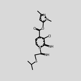 Cc1cc(OC(=O)c2ccn(C(=N)CSC(C)C)c(=N)c2Cl)n(C)n1